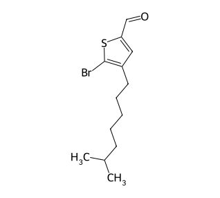 CC(C)CCCCCc1cc(C=O)sc1Br